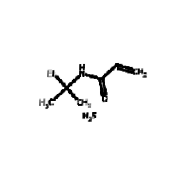 C=CC(=O)NC(C)(C)CC.S